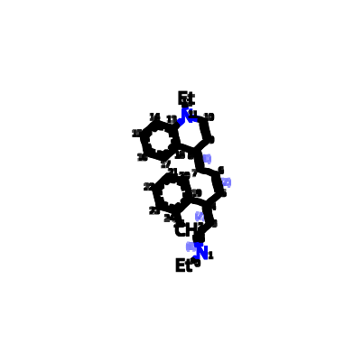 CC/N=C/C=C(/C=C\C=C1/C=CN(CC)c2ccccc21)c1ccccc1C